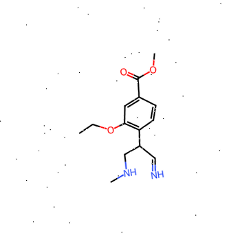 CCOc1cc(C(=O)OC)ccc1C(C=N)CNC